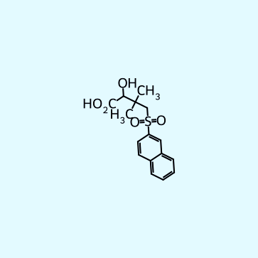 CC(C)(CS(=O)(=O)c1ccc2ccccc2c1)C(O)C(=O)O